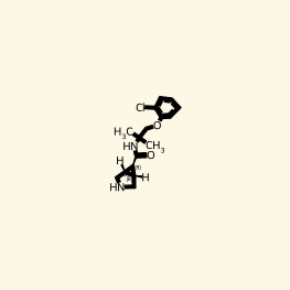 CC(C)(COc1ccccc1Cl)NC(=O)[C@H]1[C@@H]2CNC[C@@H]21